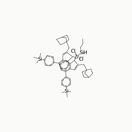 CCC[SiH](C)[Zr]([Cl])([Cl])([CH]1C(CC23CCC(CC2)C3)=Cc2c(-c3ccc([Si](C)(C)C)cc3)cccc21)[CH]1C(CC23CCC(CC2)C3)=Cc2c(-c3ccc([Si](C)(C)C)cc3)cccc21